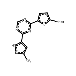 CCCCCCc1ccc(-c2ncnc(-c3cc(C(F)(F)F)n[nH]3)n2)s1